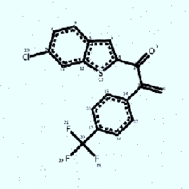 C=C(C(=O)c1cc2ccc(Cl)cc2s1)c1ccc(C(F)(F)F)cc1